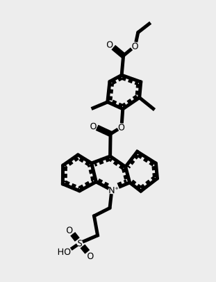 CCOC(=O)c1cc(C)c(OC(=O)c2c3ccccc3[n+](CCCS(=O)(=O)O)c3ccccc23)c(C)c1